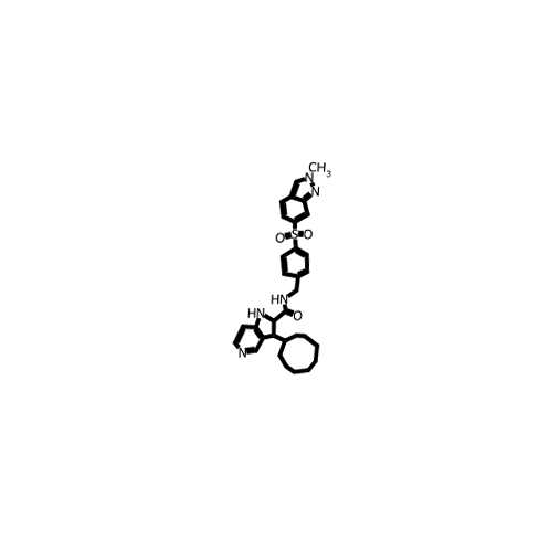 Cn1cc2ccc(S(=O)(=O)c3ccc(CNC(=O)C4Nc5ccncc5C4C4CCCCCCCC4)cc3)cc2n1